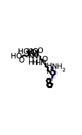 N\C=C/C=C\C(=C\[C@H]1CCc2ccccc21)CNCCCCNC(=O)CC[C@H](NC(=O)N[C@@H](CCC(=O)O)C(=O)O)C(=O)O